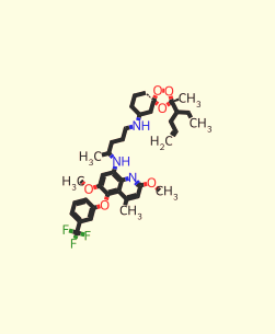 C=CCC(CC)[C@@]1(C)OO[C@@]2(CCCC(NCCCC(C)Nc3cc(OC)c(Oc4cccc(C(F)(F)F)c4)c4c(C)cc(OC)nc34)C2)O1